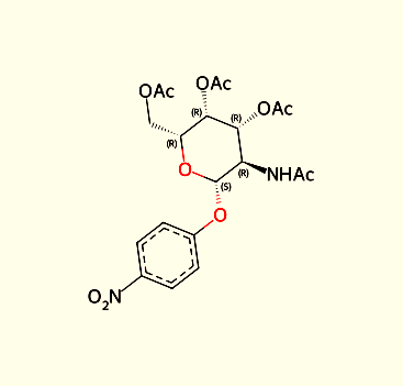 CC(=O)N[C@H]1[C@H](Oc2ccc([N+](=O)[O-])cc2)O[C@H](COC(C)=O)[C@H](OC(C)=O)[C@@H]1OC(C)=O